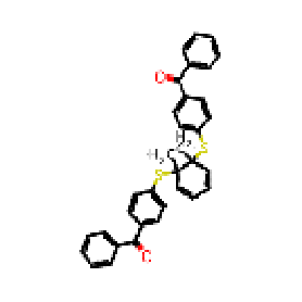 [CH2]C1(Sc2ccc(C(=O)c3ccccc3)cc2)C=CC=CC1([CH2])Sc1ccc(C(=O)c2ccccc2)cc1